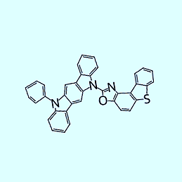 c1ccc(-n2c3ccccc3c3cc4c(cc32)c2ccccc2n4-c2nc3c(ccc4sc5ccccc5c43)o2)cc1